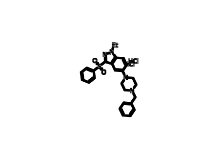 CCn1nc(S(=O)(=O)c2ccccc2)c2cc(N3CCN(Cc4ccccc4)CC3)ccc21.Cl.Cl